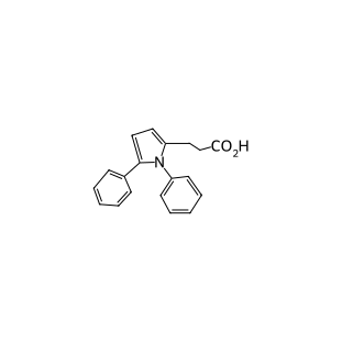 O=C(O)CCc1ccc(-c2ccccc2)n1-c1ccccc1